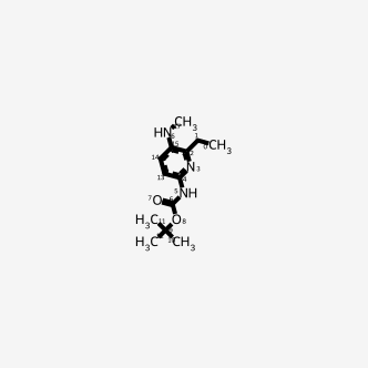 CCc1nc(NC(=O)OC(C)(C)C)ccc1NC